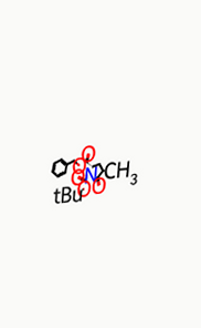 C[C@@H]1C[C@@H](C(=O)OCc2ccccc2)N(C(=O)OC(C)(C)C)C1=O